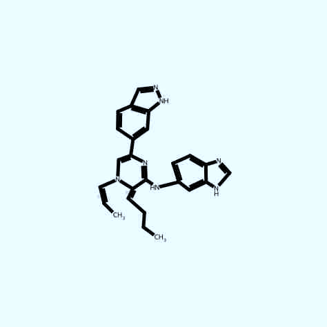 C/C=C\N1C=C(c2ccc3cn[nH]c3c2)N=C(Nc2ccc3nc[nH]c3c2)/C1=C\CCC